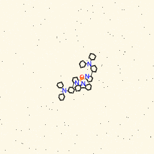 O=P(c1cccc(-c2cccc(N(c3ccccc3)c3ccccc3)c2)n1)(c1cccc(-c2cccc(N(c3ccccc3)c3ccccc3)c2)n1)n1c2ccccc2c2ccccc21